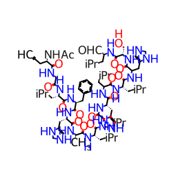 C#CC[C@H](NC(C)=O)C(=O)NCC(=O)N[C@@H](CC(C)C)C(=O)N[C@@H](Cc1ccccc1)C(=O)N[C@@H](CC1=CNCN1)C(=O)N[C@@H](C)C(=O)N[C@@H](CC(C)C)C(=O)N[C@@H](CC(C)C)C(=O)N[C@@H](CC1=CNCN1)C(=O)NC(CC(C)C)C(=O)N[C@@H](CC(C)C)C(=O)NC(CC1=CNCN1)C(=O)N[C@@H](CO)C(=O)N[C@H](C=O)CC(C)C